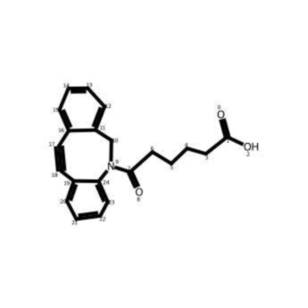 O=C(O)CCCCC(=O)N1Cc2ccccc2C#Cc2ccccc21